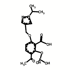 CC(=O)c1ccc(OCc2cnn(C(C)C)c2)c(C(=O)O)c1OB(O)O